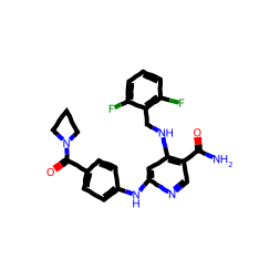 NC(=O)c1cnc(Nc2ccc(C(=O)N3CCC3)cc2)cc1NCc1c(F)cccc1F